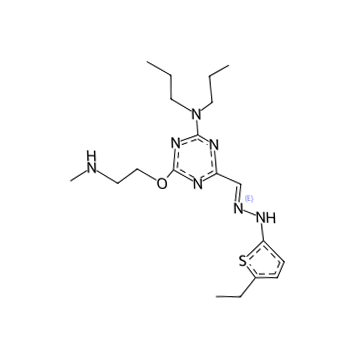 CCCN(CCC)c1nc(/C=N/Nc2ccc(CC)s2)nc(OCCNC)n1